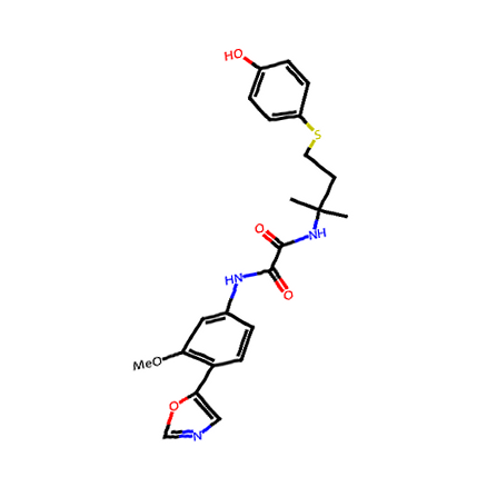 COc1cc(NC(=O)C(=O)NC(C)(C)CCSc2ccc(O)cc2)ccc1-c1cnco1